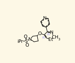 CC/C=C(OC1CCN(S(=O)(=O)C(C)C)C1)\C(=N/C)c1ccncc1